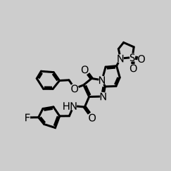 O=C(NCc1ccc(F)cc1)c1nc2ccc(N3CCCS3(=O)=O)cn2c(=O)c1OCc1ccccc1